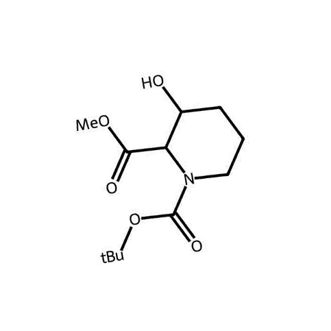 COC(=O)C1C(O)CCCN1C(=O)OC(C)(C)C